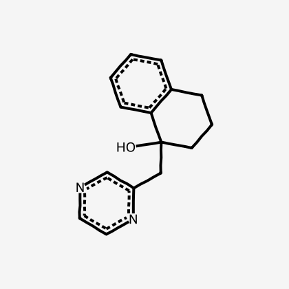 OC1(Cc2cnccn2)CCCc2ccccc21